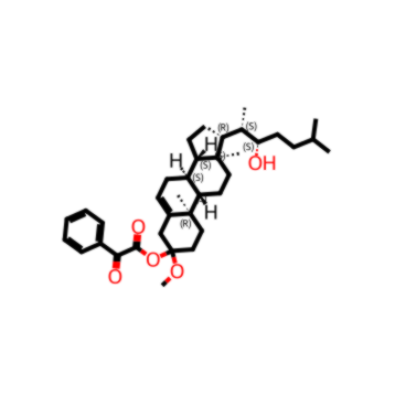 COC1(OC(=O)C(=O)c2ccccc2)CC[C@@]2(C)C(=CC[C@H]3[C@@H]4CC[C@H]([C@H](C)[C@@H](O)CCC(C)C)[C@@]4(C)CC[C@@H]32)C1